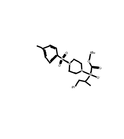 Cc1ccc(S(=O)(=O)N2CCN([N+]([O-])(C(=O)OC(C)(C)C)C(C)CC(C)C)CC2)cc1